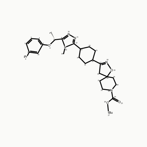 CC(C)c1cccc(O[C@H](C)c2nnc(C3CCC(C4=NOC5(CCN(C(=O)OC(C)(C)C)CC5)C4)CC3)n2C)c1